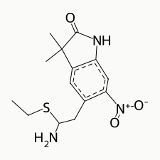 CCSC(N)Cc1cc2c(cc1[N+](=O)[O-])NC(=O)C2(C)C